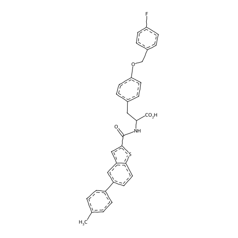 Cc1ccc(-c2ccc3sc(C(=O)NC(Cc4ccc(OCc5ccc(F)cc5)cc4)C(=O)O)cc3c2)cc1